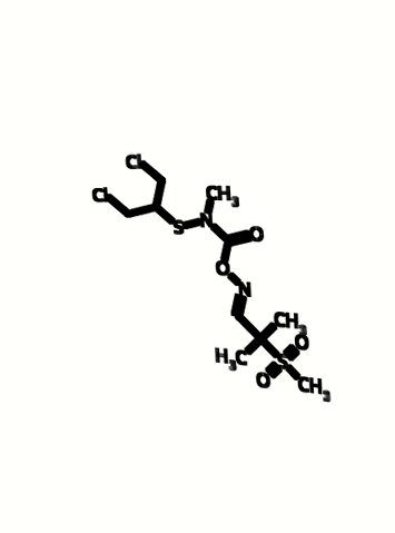 CN(SC(CCl)CCl)C(=O)O/N=C/C(C)(C)S(C)(=O)=O